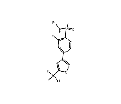 CC(C)NP(C)(=O)c1ccc(-c2noc(C(F)(F)Cl)n2)cc1F